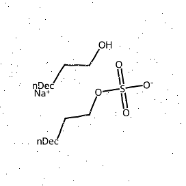 CCCCCCCCCCCCO.CCCCCCCCCCCCOS(=O)(=O)[O-].[Na+]